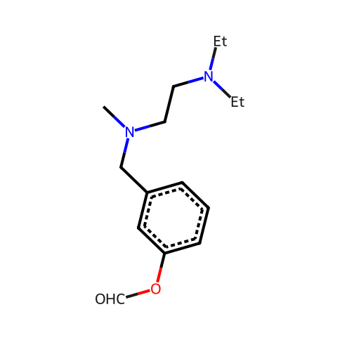 CCN(CC)CCN(C)Cc1cccc(OC=O)c1